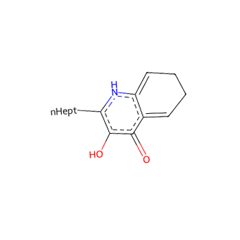 CCCCCCCc1[nH]c2c(c(=O)c1O)=CCCC=2